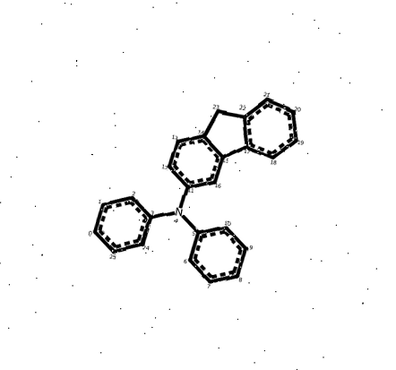 c1ccc(N(c2ccccc2)c2ccc3c(c2)-c2ccccc2C3)cc1